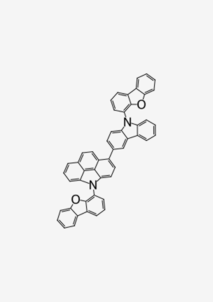 c1ccc2c(c1)oc1c(-n3c4ccccc4c4cc(-c5ccc6c7c5ccc5cccc(c57)n6-c5cccc6c5oc5ccccc56)ccc43)cccc12